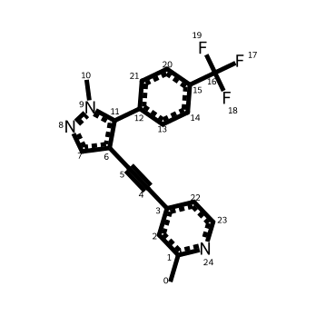 Cc1cc(C#Cc2cnn(C)c2-c2ccc(C(F)(F)F)cc2)ccn1